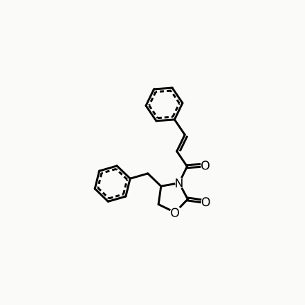 O=C(/C=C/c1ccccc1)N1C(=O)OCC1Cc1ccccc1